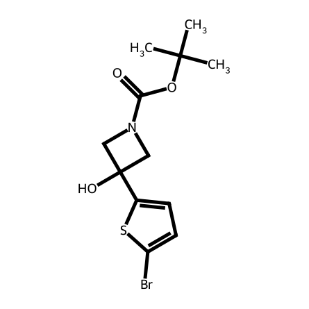 CC(C)(C)OC(=O)N1CC(O)(c2ccc(Br)s2)C1